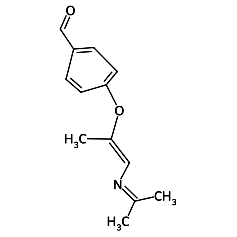 CC(C)=N/C=C(\C)Oc1ccc(C=O)cc1